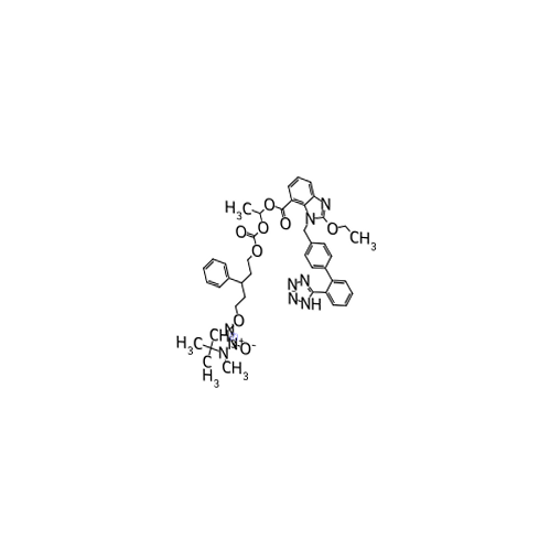 CCOc1nc2cccc(C(=O)OC(C)OC(=O)OCCC(CCO/N=[N+](\[O-])N(C)C(C)(C)C)c3ccccc3)c2n1Cc1ccc(-c2ccccc2-c2nnn[nH]2)cc1